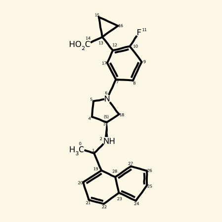 CC(N[C@H]1CCN(c2ccc(F)c(C3(C(=O)O)CC3)c2)C1)c1cccc2ccccc12